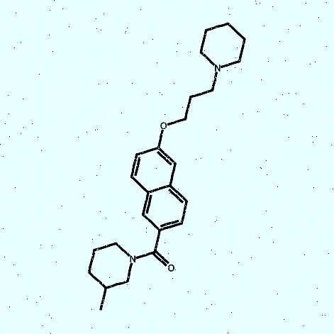 CC1CCCN(C(=O)c2ccc3cc(OCCCN4CCCCC4)ccc3c2)C1